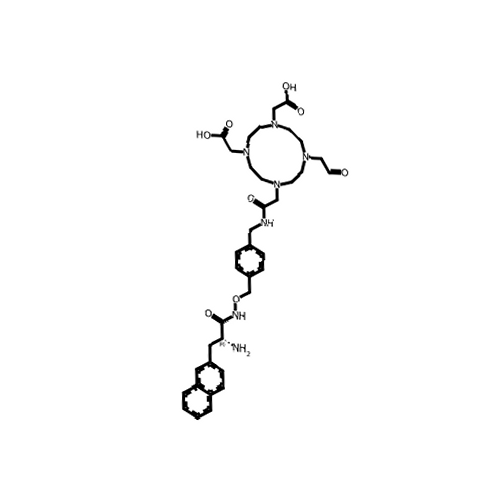 N[C@H](Cc1ccc2ccccc2c1)C(=O)NOCc1ccc(CNC(=O)CN2CCN(CC=O)CCN(CC(=O)O)CCN(CC(=O)O)CC2)cc1